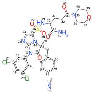 CC1(Cc2ccc(C#N)cc2)C(=O)N(c2cc(Cl)cc(Cl)c2)c2ncc(S(=O)(=O)NC(CCC(=O)N3CCOCC3)C(N)=O)n21